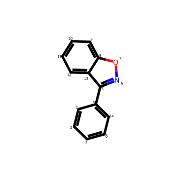 [c]1cccc(-c2noc3ccccc23)c1